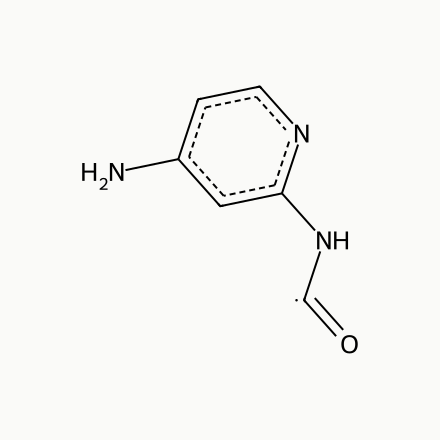 Nc1ccnc(N[C]=O)c1